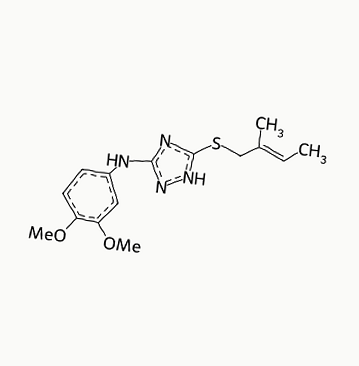 C/C=C(\C)CSc1nc(Nc2ccc(OC)c(OC)c2)n[nH]1